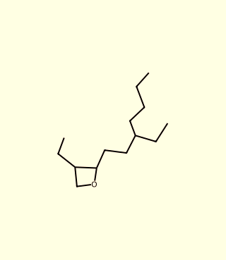 CCCCC(CC)CCC1OCC1CC